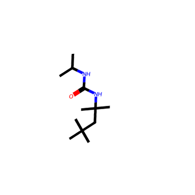 CC(C)NC(=O)NC(C)(C)CC(C)(C)C